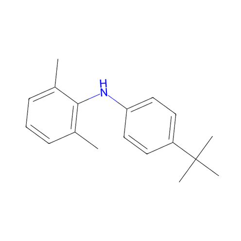 Cc1cccc(C)c1Nc1ccc(C(C)(C)C)cc1